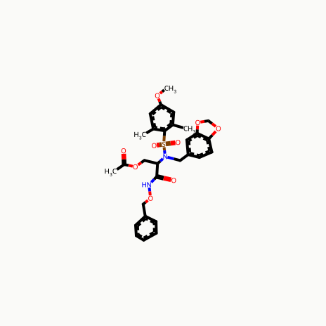 COc1cc(C)c(S(=O)(=O)N(Cc2ccc3c(c2)OCO3)C(COC(C)=O)C(=O)NOCc2ccccc2)c(C)c1